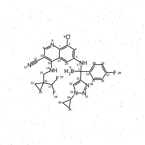 BC(Nc1cc(Cl)c2ncc(C#N)c(NCC3(C(F)F)CC3)c2c1)(c1ccc(F)cc1)c1cn(C2CC2)nn1